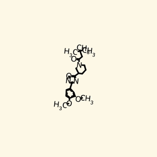 COc1ccc(-c2noc(C3CCCN(C(=O)CC(C)(C)C)C3)n2)cc1OC